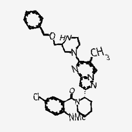 CNc1ccc(Cl)cc1C(=O)N1CCCC[C@H]1c1cc2nc(N3CCNC(COCc4ccccc4)C3)c(C)cn2n1